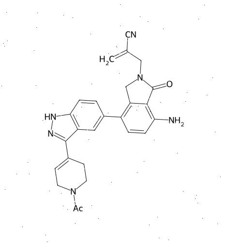 C=C(C#N)CN1Cc2c(-c3ccc4[nH]nc(C5=CCN(C(C)=O)CC5)c4c3)ccc(N)c2C1=O